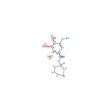 CC1(CN[C@@H]2C=C(CF)[C@H](O)[C@H](O)[C@H]2O)CCCCC1